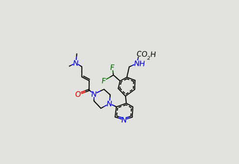 CN(C)CC=CC(=O)N1CCN(c2cnccc2-c2ccc(CNC(=O)O)c(C(F)F)c2)CC1